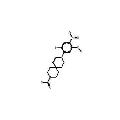 COc1cc(N2CCC3(CCN(C(=O)O)CC3)CC2)c(F)cc1[N+](=O)[O-]